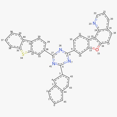 c1ccc2cc(-c3nc(-c4ccc5c(c4)oc4ccc6cccnc6c45)nc(-c4ccc5c(c4)sc4ccccc45)n3)ccc2c1